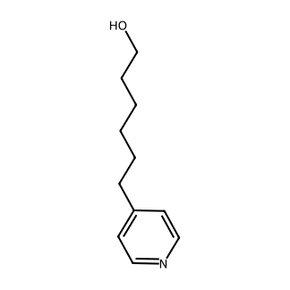 OCCCCCCc1ccncc1